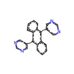 c1ccc2c(-c3cncnc3)c3ccccc3c(-c3cncnc3)c2c1